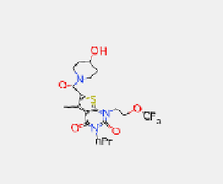 CCCn1c(=O)c2c(C)c(C(=O)N3CCC(O)CC3)sc2n(CCOC(F)(F)F)c1=O